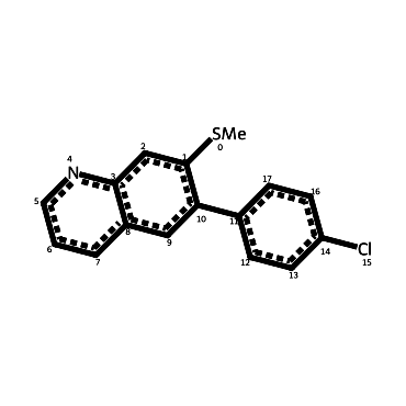 CSc1cc2ncccc2cc1-c1ccc(Cl)cc1